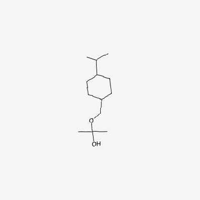 CC(C)C1CCC(COC(C)(C)O)CC1